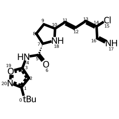 CC(C)(C)c1cc(NC(=O)[C@@H]2CCC(C=C/C=C(/Cl)C=N)N2)on1